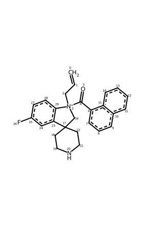 C=CC[N+]1(C(=O)c2cccc3ccccc23)CC2(CCNCC2)c2cc(F)ccc21